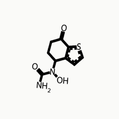 NC(=O)N(O)C1CCC(=O)c2sccc21